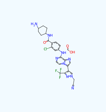 N#CCn1cc(-c2cnc3c(Nc4ccc(C(=O)NC5CCC(N)CC5)c(Cl)c4)nccn23)c(C(F)(F)F)n1.O=CO